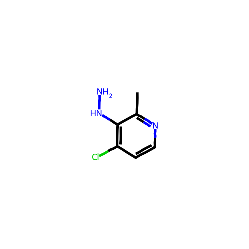 Cc1nccc(Cl)c1NN